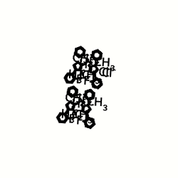 CC1=[C]([Hf]([C]2=C(C)C(c3ccccc3F)=CC2C)=[Si](c2ccccc2)c2ccccc2)C(C)C=C1c1ccccc1F.CC1=[C]([Hf]([C]2=C(C)C(c3ccccc3F)=CC2C)=[Si](c2ccccc2)c2ccccc2)C(C)C=C1c1ccccc1F.[Cl-].[Cl-]